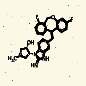 CN1C[C@@H](n2c(=N)[nH]c3cc(/C=C4/c5ccc(F)cc5OCc5c(F)cccc54)ccc32)[C@@H](O)C1